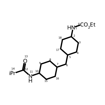 CCOC(=O)NC1CCC(CC2CCC(NC(=O)C(C)C)CC2)CC1